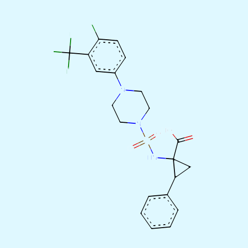 O=C(O)C1(NS(=O)(=O)N2CCN(c3ccc(Cl)c(C(F)(F)F)c3)CC2)CC1c1ccccc1